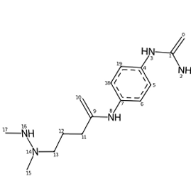 C=C(N)Nc1ccc(NC(=C)CCCN(C)NC)cc1